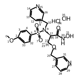 COc1ccc(S(=O)(=O)N(Cc2cccnc2)[C@@H](C(=O)NO)[C@@H](C)OCc2cccnc2)cc1.Cl.Cl